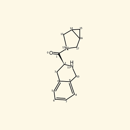 O=C([C@@H]1Cc2ccccc2CN1)N1CC2CC2C1